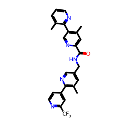 Cc1cc(C(=O)NCc2cnc(-c3ccnc(C(F)(F)F)c3)c(C)c2)ncc1-c1ncccc1C